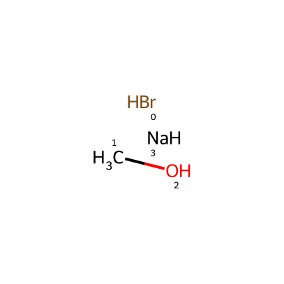 Br.CO.[NaH]